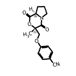 C[C@@]1(COc2ccc(C#N)cc2)OC(=O)[C@H]2CCCN2C1=O